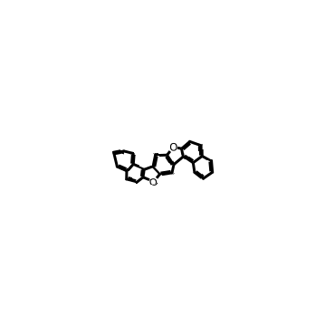 c1ccc2c(c1)ccc1oc3cc4c(cc3c12)oc1ccc2ccccc2c14